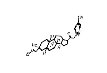 CCOC[C@@]1(O)CC[C@@]2(CC)[C@H](CC[C@H]3[C@@H]4CC[C@H](C(=O)Cn5cc(C#N)cn5)C4CC[C@@H]32)C1